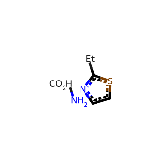 CCc1nccs1.NC(=O)O